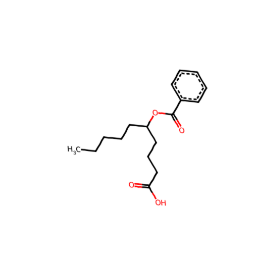 CCCCCC(CCCC(=O)O)OC(=O)c1ccccc1